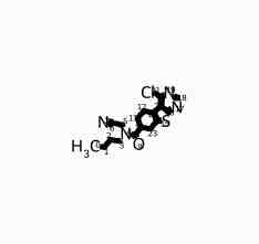 CCCCN(CC#N)C(=O)C1CCc2c(sc3ncnc(Cl)c23)C1